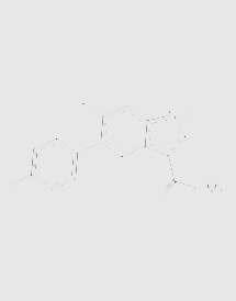 COC(=O)c1c[nH]c2cc(Cl)c(-c3ccc(C)cc3)cc12